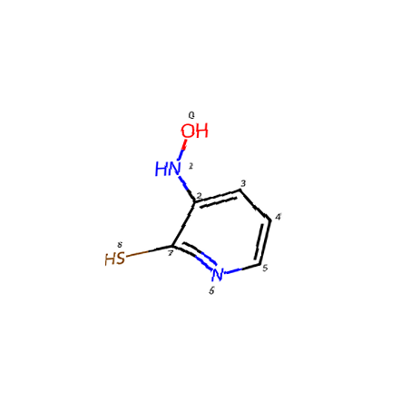 ONc1cccnc1S